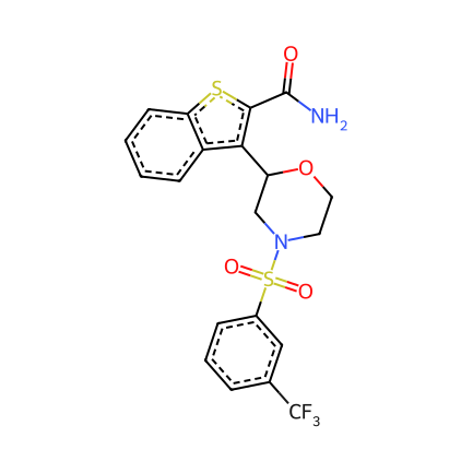 NC(=O)c1sc2ccccc2c1C1CN(S(=O)(=O)c2cccc(C(F)(F)F)c2)CCO1